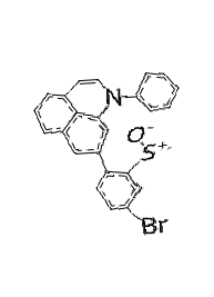 C[S+]([O-])c1cc(Br)ccc1-c1cc2c3c(cccc3c1)C=CN2c1ccccc1